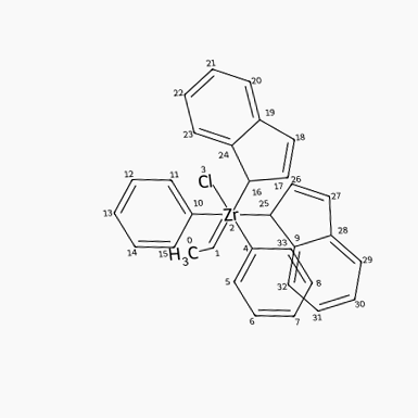 C[CH]=[Zr]([Cl])([c]1ccccc1)([c]1ccccc1)([CH]1C=Cc2ccccc21)[CH]1C=Cc2ccccc21